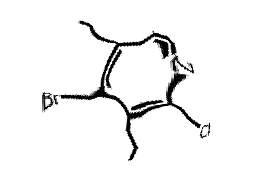 Cc1[c]nc(Cl)c(C)c1Br